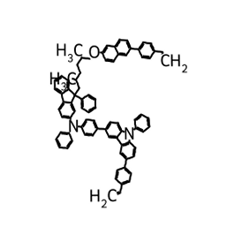 C=Cc1ccc(-c2ccc3cc(OCC(C)CCC(C)CC4(c5ccccc5)c5ccccc5-c5ccc(N(c6ccccc6)c6ccc(-c7ccc8c(c7)c7cc(-c9ccc(C=C)cc9)ccc7n8-c7ccccc7)cc6)cc54)ccc3c2)cc1